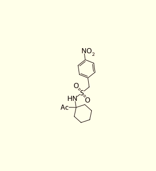 CC(=O)C1(NS(=O)(=O)Cc2ccc([N+](=O)[O-])cc2)CCCCC1